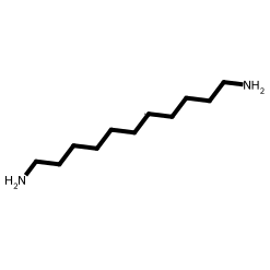 NCCCC[CH]CCCCCCN